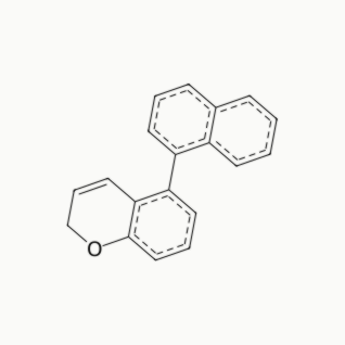 C1=Cc2c(cccc2-c2cccc3ccccc23)OC1